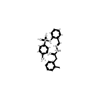 Cc1ccccc1CC(=O)NN=Cc1ccccc1OS(=O)(=O)c1ccc(C(F)(F)F)cc1